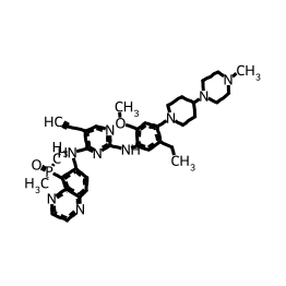 C#Cc1cnc(Nc2cc(CC)c(N3CCC(N4CCN(C)CC4)CC3)cc2OC)nc1Nc1ccc2nccnc2c1P(C)(C)=O